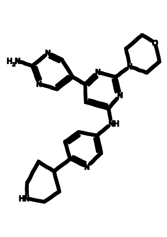 Nc1ncc(-c2cc(Nc3ccc(C4CCNCC4)nc3)nc(N3CCOCC3)n2)cn1